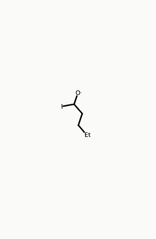 CCCCC([O])I